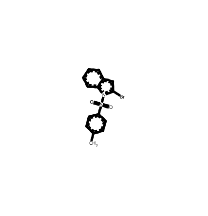 Cc1ccc(S(=O)(=O)n2c(Br)cc3ccccc32)cc1